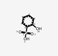 O=S(=O)(O)c1ccccc1O